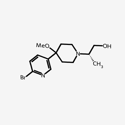 COC1(c2ccc(Br)nc2)CCN([C@@H](C)CO)CC1